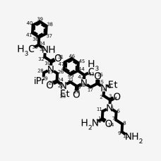 CCN(CC(=O)N(CCCCN)CC(N)=O)C(=O)CN(C(=O)CN(CC)C(=O)CN(CC(C)C)C(=O)CNC(C)c1ccccc1)C(C)c1ccccc1